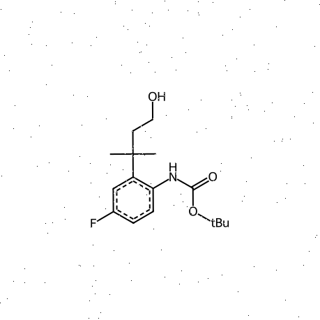 CC(C)(C)OC(=O)Nc1ccc(F)cc1C(C)(C)CCO